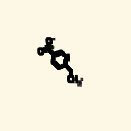 [CH2]Cc1ccc([N+](=O)[O-])cn1